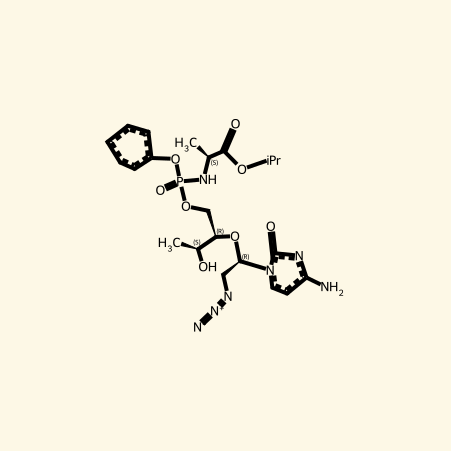 CC(C)OC(=O)[C@H](C)NP(=O)(OC[C@@H](O[C@H](CN=[N+]=[N-])n1ccc(N)nc1=O)[C@H](C)O)Oc1ccccc1